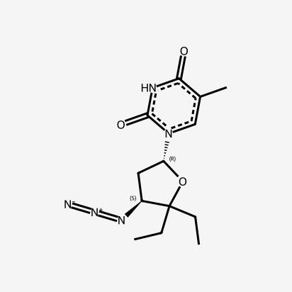 CCC1(CC)O[C@@H](n2cc(C)c(=O)[nH]c2=O)C[C@@H]1N=[N+]=[N-]